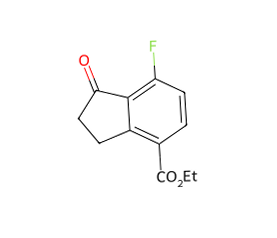 CCOC(=O)c1ccc(F)c2c1CCC2=O